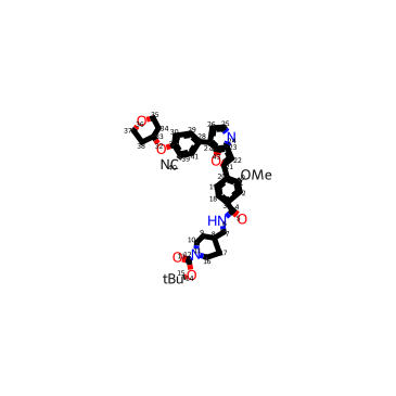 COc1cc(C(=O)NCC2CCN(C(=O)OC(C)(C)C)CC2)ccc1-c1cc2nccc(-c3ccc(OC4CCOCC4)c(C#N)c3)c2o1